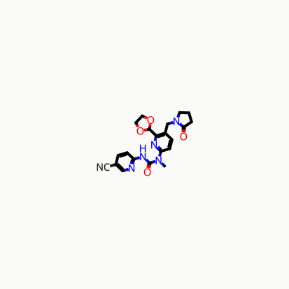 CN(C(=O)Nc1ccc(C#N)cn1)c1ccc(CN2CCCC2=O)c(C2OCCO2)n1